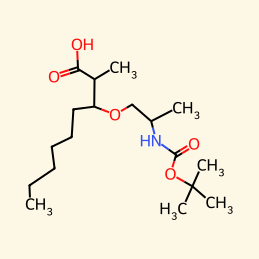 CCCCCCC(OCC(C)NC(=O)OC(C)(C)C)C(C)C(=O)O